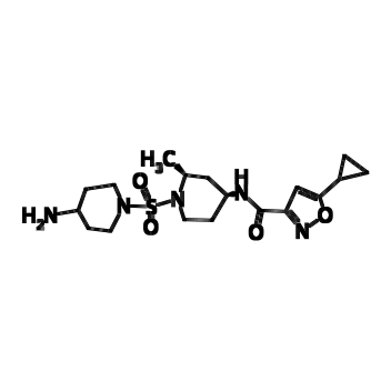 C[C@H]1C[C@@H](NC(=O)c2cc(C3CC3)on2)CCN1S(=O)(=O)N1CCC(N)CC1